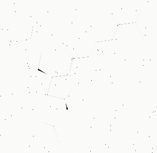 CC(C)OC[C@@H]1C[C@H](OC(C)C)CN1C(=O)CCCC(=O)C(C)C